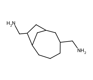 NCC1CCCC2CC(C1)CC2CN